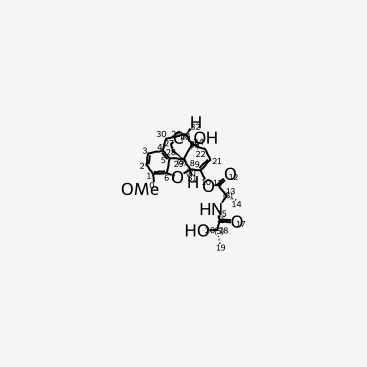 COc1ccc2c3c1O[C@H]1C(OC(=O)[C@H](C)NC(=O)[C@H](C)O)=CC[C@@]4(O)[C@H](CCC[C@]314)C2